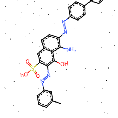 C=CCc1ccc(N=Nc2ccc3cc(S(=O)(=O)O)c(N=Nc4cccc(C)c4)c(O)c3c2N)cc1